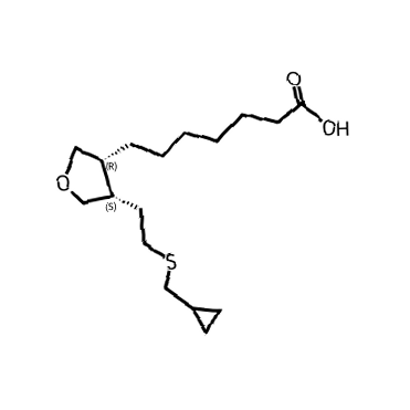 O=C(O)CCCCCC[C@H]1COC[C@H]1CCSCC1CC1